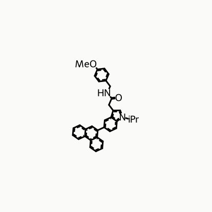 COc1ccc(CNC(=O)Cc2cn(C(C)C)c3ccc(-c4cc5ccccc5c5ccccc45)cc23)cc1